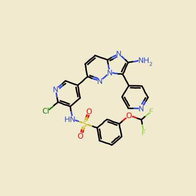 Nc1nc2ccc(-c3cnc(Cl)c(NS(=O)(=O)c4cccc(OC(F)F)c4)c3)nn2c1-c1ccncc1